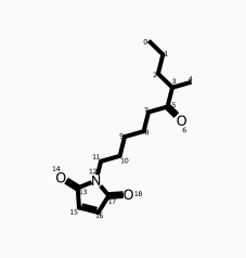 CCCC(C)C(=O)CCCCCN1C(=O)C=CC1=O